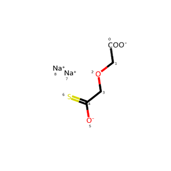 O=C([O-])COCC([O-])=S.[Na+].[Na+]